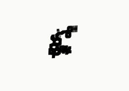 C[C@H](CCC(=O)O)[C@H]1CC=C2C3=C(CC[C@@]21C)[C@@]1(C)C(O[Si](C)(C)C(C)(C)C)CCC(C)(C)[C@@H]1CC3